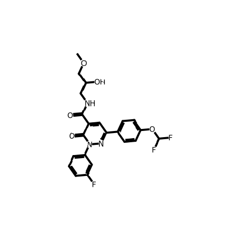 COCC(O)CNC(=O)c1cc(-c2ccc(OC(F)F)cc2)nn(-c2cccc(F)c2)c1=O